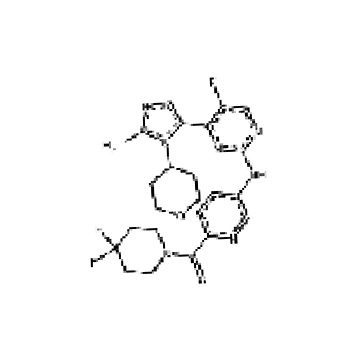 Cc1ncc(-c2nc(Nc3ccc(C(=O)N4CCC(F)(F)CC4)nc3)ncc2F)n1C1CCOCC1